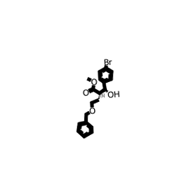 COC(=O)[C@@H](CCOCc1ccccc1)[C@H](O)c1ccc(Br)cc1